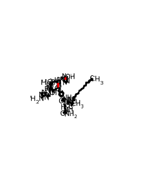 CCCCCCCCCCCCCCCC(=O)N[C@H](C(=O)N[C@@H](CCCNC(N)=O)C(=O)Nc1ccc(CSP2(=O)OC[C@H]3O[C@@H](n4cnc5c(N)ncnc54)[C@H](F)[C@@H]3OP(=O)(O)OC[C@H]3O[C@@H](n4cnc5c(O)ncnc54)C[C@@H]32)cc1)C(C)C